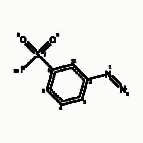 [N]=Nc1cccc(S(=O)(=O)F)c1